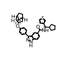 CN1[C@@H]2CC[C@H]1C[C@H](Oc1ccc(-c3n[nH]c4ccc(C(=O)N[C@@H](c5ccsc5)C5CCCC5)cc34)cc1)C2